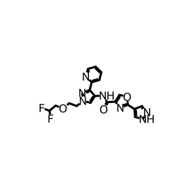 O=C(Nc1cn(CCOCC(F)F)nc1-c1ccccn1)c1coc(-c2cn[nH]c2)n1